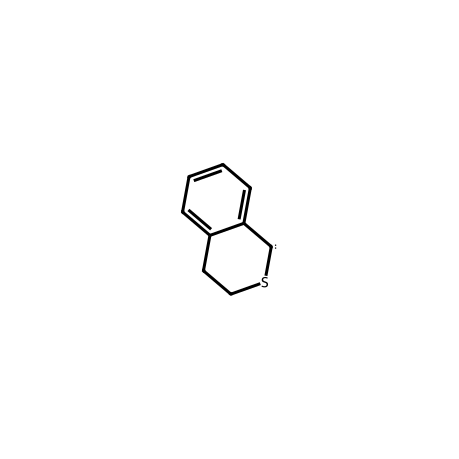 [C]1SCCc2ccccc21